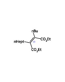 CCCCCCC/C(C(=O)OCC)=C(\CCCC)C(=O)OCC